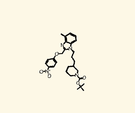 Cc1cccc2c1nc(COc1ccc([N+](=O)[O-])cc1)n2CCCC1CCCN(C(=O)OC(C)(C)C)C1